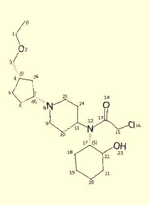 CCOC[C@H]1CC[C@@H](N2CCC(N(C(=O)CCl)[C@H]3CCCCC3O)CC2)C1